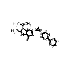 Cc1nc2c(F)cc([C@@H]3C[C@@H]3c3cnc(-c4ncccn4)nc3)cc2n1C(C)C